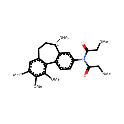 CNCC(=O)N(C(=O)CNC)c1ccc2c(c1)[C@@H](NC(C)=O)CCc1cc(OC)c(OC)c(OC)c1-2